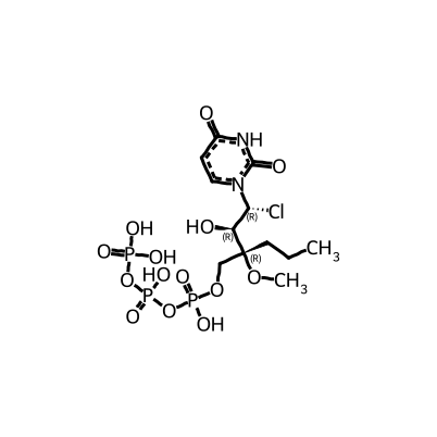 CCC[C@](COP(=O)(O)OP(=O)(O)OP(=O)(O)O)(OC)[C@@H](O)[C@@H](Cl)n1ccc(=O)[nH]c1=O